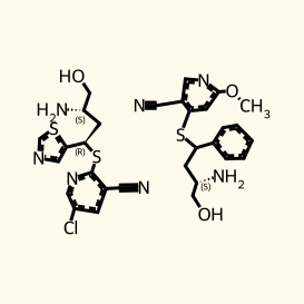 COc1cc(SC(C[C@H](N)CO)c2ccccc2)c(C#N)cn1.N#Cc1cc(Cl)cnc1S[C@H](C[C@H](N)CO)c1cncs1